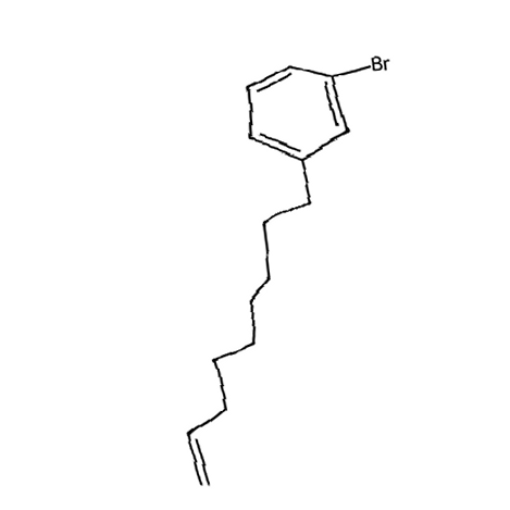 C=CCCCCCCCc1cccc(Br)c1